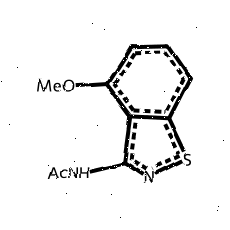 COc1cccc2snc(NC(C)=O)c12